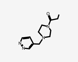 CCC(=O)N1CCN(Cc2ccnnc2)CC1